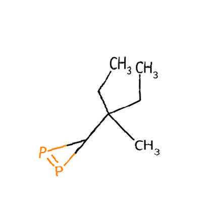 CCC(C)(CC)C1P=P1